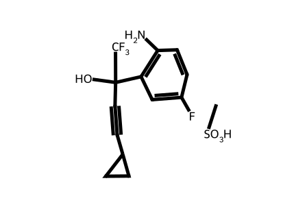 CS(=O)(=O)O.Nc1ccc(F)cc1C(O)(C#CC1CC1)C(F)(F)F